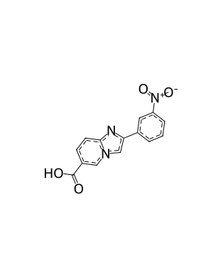 O=C(O)c1ccc2nc(-c3cccc([N+](=O)[O-])c3)cn2c1